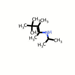 C/C(NC(C)C)=C(/C)C(C)(C)C